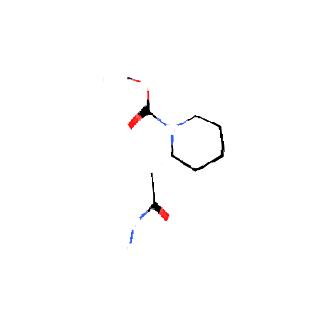 CC(C)(C)OC(=O)N1CCCC[C@@H]1CC(=O)NN